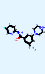 Cc1cc(C(=O)Nc2ccc(F)cn2)cc(N2CCNCC2)c1